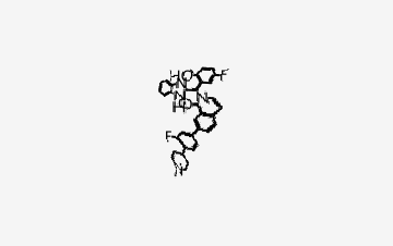 CN1CCC(c2ccc(-c3ccc4ccn(C(c5nc6ccccc6[nH]5)c5cc(F)ccc5O)c(=O)c4c3)cc2F)CC1